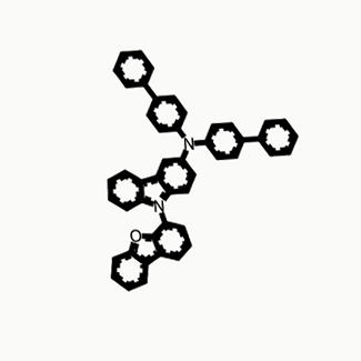 c1ccc(-c2ccc(N(c3ccc(-c4ccccc4)cc3)c3ccc4c(c3)c3ccccc3n4-c3cccc4c3oc3ccccc34)cc2)cc1